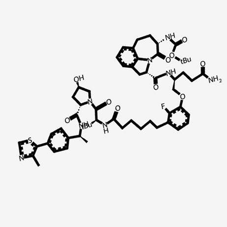 Cc1ncsc1-c1ccc([C@H](C)NC(=O)[C@@H]2C[C@@H](O)CN2C(=O)[C@@H](NC(=O)CCCCCc2cccc(OC[C@H](CCC(N)=O)NC(=O)[C@@H]3Cc4cccc5c4N3C(=O)[C@@H](NC(=O)OC(C)(C)C)CC5)c2F)C(C)(C)C)cc1